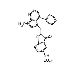 Cn1cc(C=C2Oc3ccc(NC(=O)O)cc3C2=O)c2c(-c3ccccc3)ccnc21